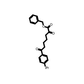 CC(C)c1ccc(C(=O)CCCCC(=O)C(=O)OCc2ccccc2)cc1